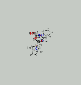 CCCCCNC(=O)N(CCN1[C@@H]2CC[C@H]1C[C@@H](c1cccc(O)c1)C2)CC1CCCCC1